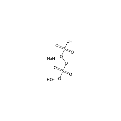 O=S(=O)(O)OOS(=O)(=O)OO.[NaH]